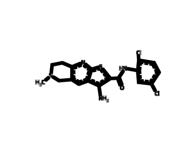 CN1CCc2nc3sc(C(=O)Nc4cc(Cl)ccc4Cl)c(N)c3cc2C1